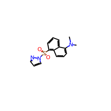 CN(C)c1cccc2c(S(=O)(=O)n3cccn3)cccc12